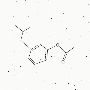 CC(=O)Oc1c[c]cc(CC(C)C)c1